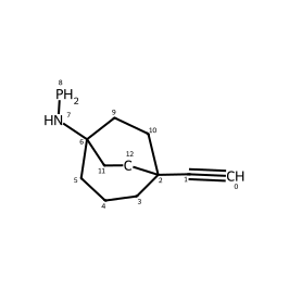 C#CC12CCCC(NP)(CC1)CC2